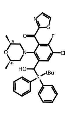 C[C@@H]1CN(c2c(C(O)[Si](c3ccccc3)(c3ccccc3)C(C)(C)C)cc(Cl)c(F)c2C(=O)c2nccs2)C[C@H](C)O1